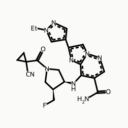 CCn1cc(-c2cn3ncc(C(N)=O)c(N[C@@H]4CN(C(=O)C5(C#N)CC5)C[C@@H]4CF)c3n2)cn1